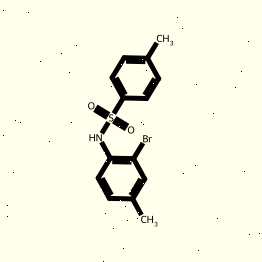 Cc1ccc(S(=O)(=O)Nc2ccc(C)cc2Br)cc1